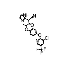 CC(Oc1ccc(Oc2ncc(C(F)(F)F)cc2Cl)cc1)C(=O)C(C#N)c1ncc[nH]1